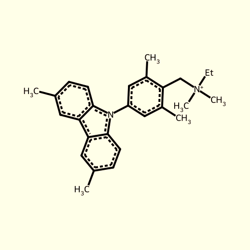 CC[N+](C)(C)Cc1c(C)cc(-n2c3ccc(C)cc3c3cc(C)ccc32)cc1C